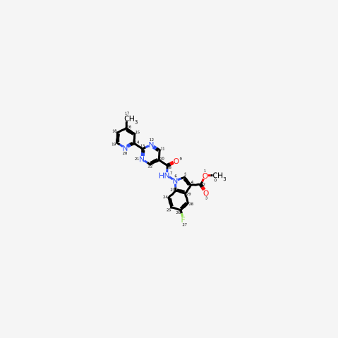 COC(=O)c1cn(NC(=O)c2cnc(-c3cc(C)ccn3)nc2)c2ccc(F)cc12